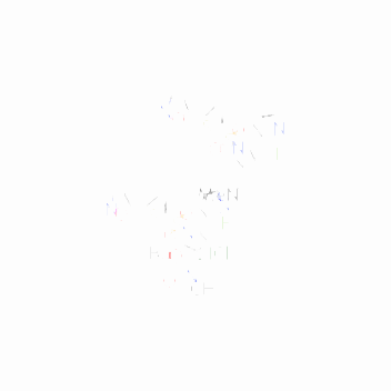 CN(Cc1cc(-c2cccnc2F)n(S(=O)(=O)c2ccc(-c3ccno3)s2)c1)C(=O)OC(C)(C)C.CNCc1cc(-c2cccnc2F)n(S(=O)(=O)c2ccc(-c3ccno3)s2)c1.Cl